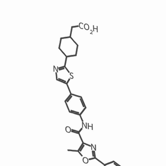 Cc1oc(-c2ccccc2)nc1C(=O)Nc1ccc(-c2cnc(C3CCC(CC(=O)O)CC3)s2)cc1